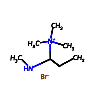 CCC(NC)[N+](C)(C)C.[Br-]